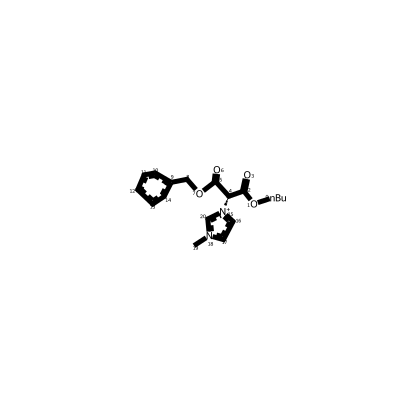 CCCCOC(=O)[C@@H](C(=O)OCc1ccccc1)[n+]1ccn(C)c1